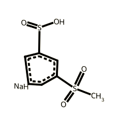 CS(=O)(=O)c1cccc(S(=O)O)c1.[NaH]